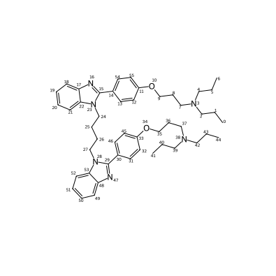 CCCN(CCC)CCCOc1ccc(-c2nc3ccccc3n2CCCCn2c(-c3ccc(OCCCN(CCC)CCC)cc3)nc3ccccc32)cc1